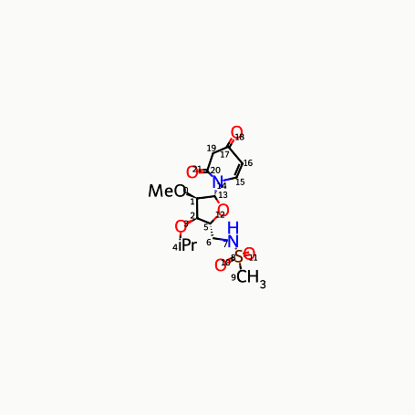 CO[C@@H]1[C@H](OC(C)C)[C@@H](CNS(C)(=O)=O)O[C@H]1N1C=CC(=O)CC1=O